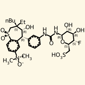 CCCC[C@]1(CC)CS(=O)(=O)c2ccc([N+](C)(C)[O-])cc2[C@@H](c2cccc(NC(=O)N[C@@H]3O[C@H](CS(=O)(=O)O)[C@@H](F)[C@H](O)[C@H]3O)c2)[C@H]1O